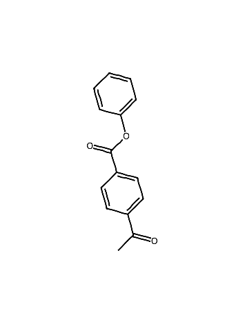 CC(=O)c1ccc(C(=O)Oc2ccccc2)cc1